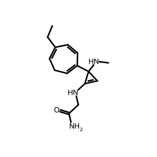 CCC1=CCC=C(C2(NC)C=C2NCC(N)=O)C=C1